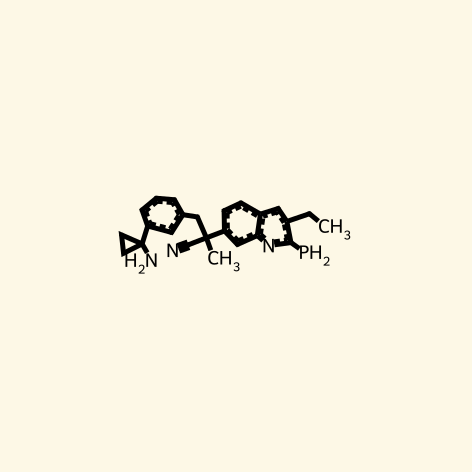 CCc1cc2ccc(C(C)(C#N)Cc3cccc(C4(N)CC4)c3)cc2nc1P